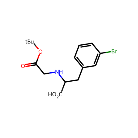 CC(C)(C)OC(=O)CNC(Cc1cccc(Br)c1)C(=O)O